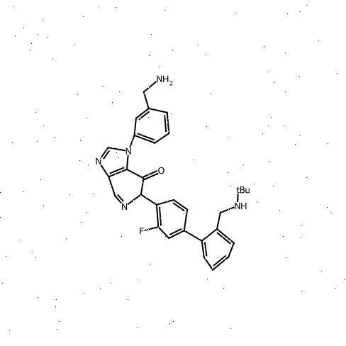 CC(C)(C)NCc1ccccc1-c1ccc(C2N=Cc3ncn(-c4cccc(CN)c4)c3C2=O)c(F)c1